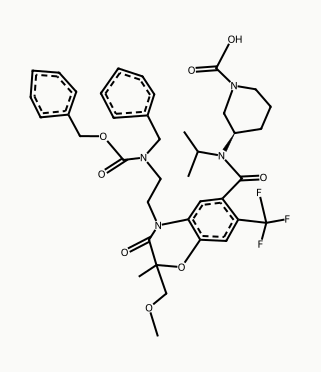 COCC1(C)Oc2cc(C(F)(F)F)c(C(=O)N(C(C)C)[C@@H]3CCCN(C(=O)O)C3)cc2N(CCN(Cc2ccccc2)C(=O)OCc2ccccc2)C1=O